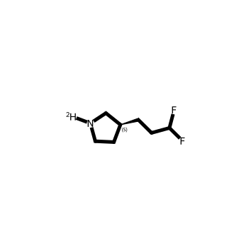 [2H]N1CC[C@H](CCC(F)F)C1